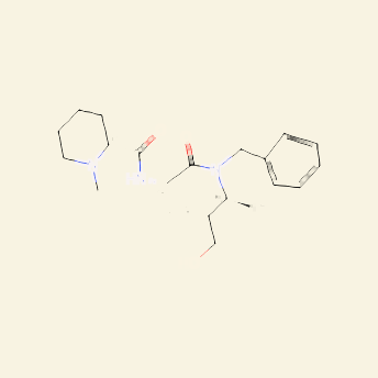 CC[C@H](C)[C@H](NC(=O)[C@H]1CCCCN1C)C(=O)N(Cc1ccccc1)[C@H](CCO)C(C)C